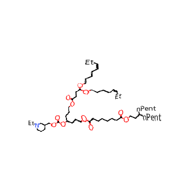 CC/C=C\CCCCOC(CCC(=O)OCCCC(CCCOC(=O)CCCCCCC(=O)OCCC(CCCCC)CCCCC)OC(=O)OCC1CCCN(CC)C1)OCCCC/C=C\CC